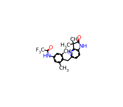 Cc1cc(NC(=O)C(F)(F)F)cc(C)c1Cc1ccc2c(n1)C(C)(C)C(=O)N2